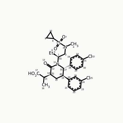 CC[C@@H](CN(C)S(=O)(=O)C1CC1)N1C(=O)[C@H](C(C)C(=O)O)C[C@H](c2cccc(Cl)c2)[C@H]1c1ccc(Cl)cc1